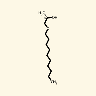 CCCCCCCCCCOC[C@H](C)O